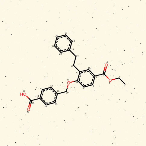 CCOC(=O)c1ccc(OCc2ccc(C(=O)O)cc2)c(CCc2ccccc2)c1